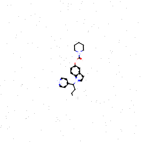 CCCC(c1ccncc1)n1ccc2cc(OC(=O)N3CCCCC3)ccc21